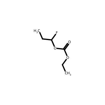 CCOC(=O)OC(F)CC